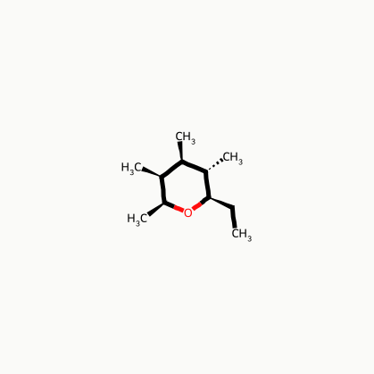 CC[C@H]1O[C@@H](C)[C@@H](C)[C@@H](C)[C@@H]1C